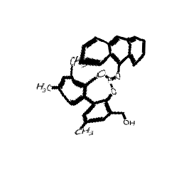 Cc1cc(C)c2op(Oc3c4ccccc4cc4ccccc34)oc3c(CO)cc(C)cc3c2c1